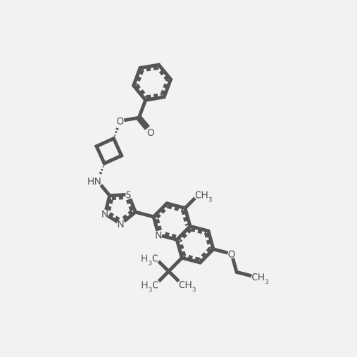 CCOc1cc(C(C)(C)C)c2nc(-c3nnc(N[C@H]4C[C@@H](OC(=O)c5ccccc5)C4)s3)cc(C)c2c1